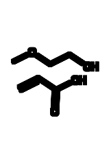 C=CC(=O)O.COCCO